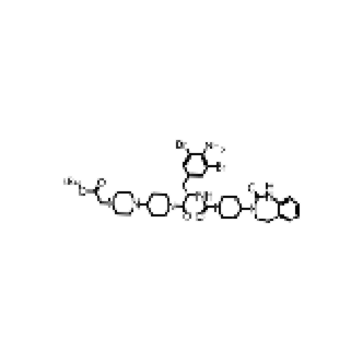 CC(C)(C)OC(=O)CN1CCN(C2CCN(C(=O)[C@@H](Cc3cc(Br)c(N)c(Br)c3)NC(=O)N3CCC(N4CCc5ccccc5NC4=O)CC3)CC2)CC1